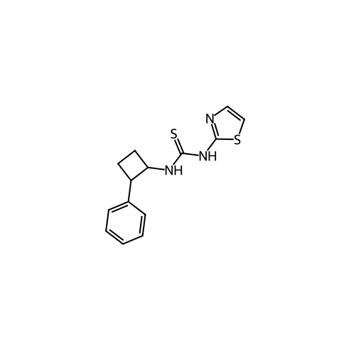 S=C(Nc1nccs1)NC1CCC1c1ccccc1